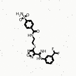 N=C(Nc1cccc(C(F)F)c1)c1nonc1SCCNC(=O)c1ccc(S(N)(=O)=O)cc1